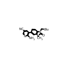 Cn1c(=O)n(CC(C)(C)C)c2ccc(-c3cc(C#N)cnc3N)cc21